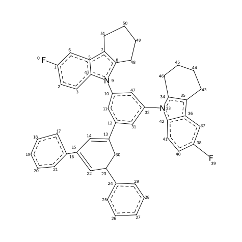 Fc1ccc2c(c1)c1c(n2-c2cc(C3=CC(c4ccccc4)=CC(c4ccccc4)C3)cc(-n3c4c(c5cc(F)ccc53)CCCC4)c2)CCCC1